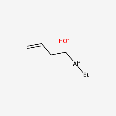 C=CC[CH2][Al+][CH2]C.[OH-]